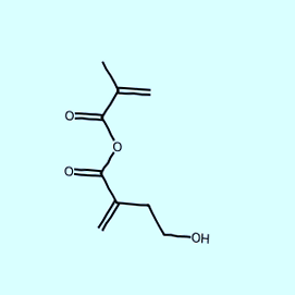 C=C(C)C(=O)OC(=O)C(=C)CCO